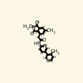 Cc1cc(CC(=O)Nc2ccc(-c3cnccc3C)cn2)c2c(c1)C(=O)N(C)C2=O